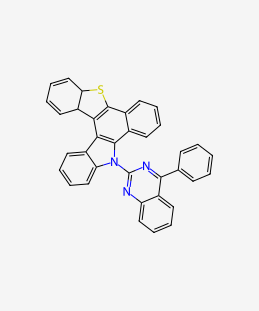 C1=CC2Sc3c(c4c5ccccc5n(-c5nc(-c6ccccc6)c6ccccc6n5)c4c4ccccc34)C2C=C1